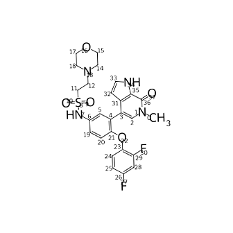 Cn1cc(-c2cc(NS(=O)(=O)CCN3CCOCC3)ccc2Oc2ccc(F)cc2F)c2cc[nH]c2c1=O